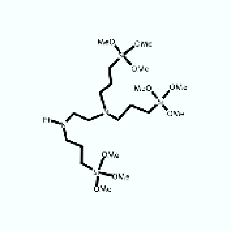 CCN(CCC[Si](OC)(OC)OC)CCN(CCC[Si](OC)(OC)OC)CCC[Si](OC)(OC)OC